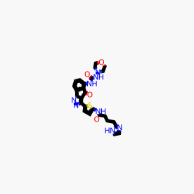 O=C(CCCc1ncc[nH]1)Nc1ccc(C2=C3C(=O)c4c(NC(=O)NN5CCOCC5)cccc4C3N=N2)s1